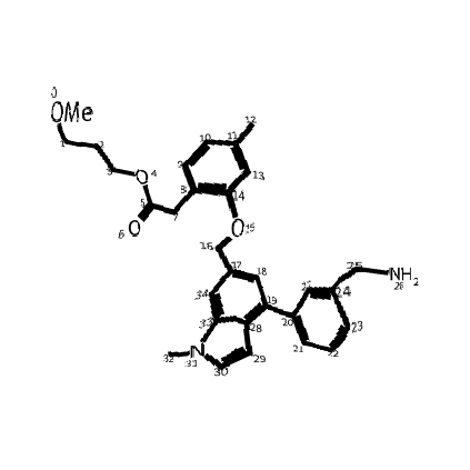 COCCCOC(=O)Cc1ccc(C)cc1OCc1cc(-c2cccc(CN)c2)c2ccn(C)c2c1